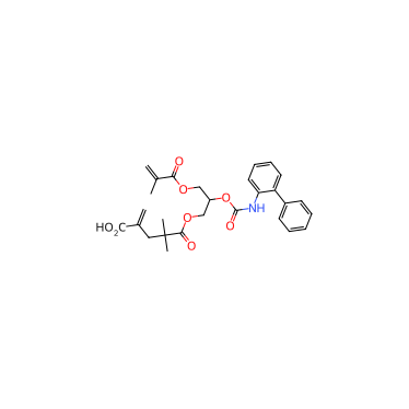 C=C(C)C(=O)OCC(COC(=O)C(C)(C)CC(=C)C(=O)O)OC(=O)Nc1ccccc1-c1ccccc1